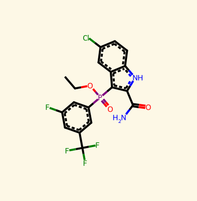 CCOP(=O)(c1cc(F)cc(C(F)(F)F)c1)c1c(C(N)=O)[nH]c2ccc(Cl)cc12